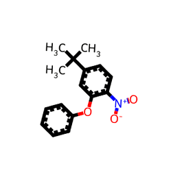 CC(C)(C)c1ccc([N+](=O)[O-])c(Oc2ccccc2)c1